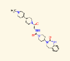 CN1CCC(C2CCN(C(=O)CNC(=O)N3CCC(N4CCc5ccccc5NC4=O)CC3)CC2)CC1